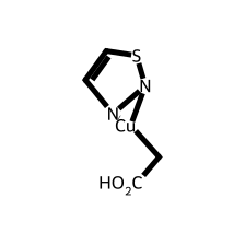 O=C(O)[CH2][Cu]1[N]2C=CS[N]21